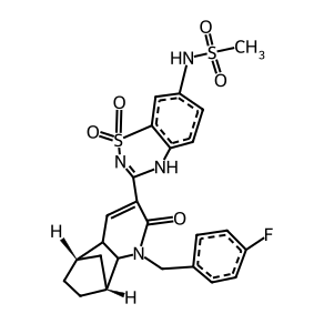 CS(=O)(=O)Nc1ccc2c(c1)S(=O)(=O)N=C(C1=CC3C([C@@H]4CC[C@H]3C4)N(Cc3ccc(F)cc3)C1=O)N2